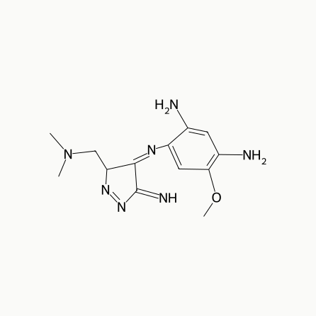 COc1cc(N=C2C(=N)N=NC2CN(C)C)c(N)cc1N